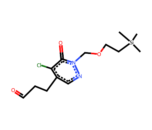 C[Si](C)(C)CCOCn1ncc(CCC=O)c(Cl)c1=O